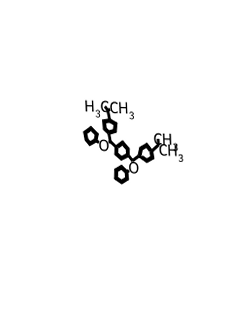 CC(C)c1ccc(C(Oc2ccccc2)c2ccc(C(Oc3ccccc3)c3ccc(C(C)C)cc3)cc2)cc1